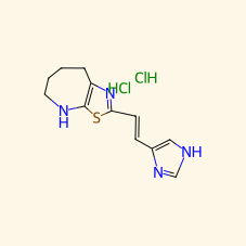 C(=Cc1nc2c(s1)NCCCC2)c1c[nH]cn1.Cl.Cl